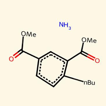 CCCCc1ccc(C(=O)OC)cc1C(=O)OC.N